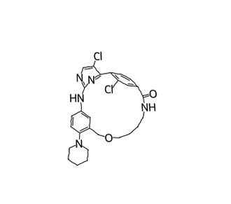 O=C1NCCCCOCc2cc(ccc2N2CCCCC2)Nc2ncc(Cl)c(n2)-c2ccc1cc2Cl